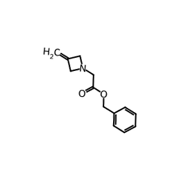 C=C1CN(CC(=O)OCc2ccccc2)C1